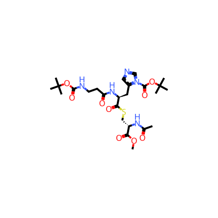 COC(=O)[C@H](CSC(=O)[C@H](Cc1cncn1C(=O)OC(C)(C)C)NC(=O)CCNC(=O)OC(C)(C)C)NC(C)=O